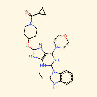 CCC1Nc2ccccc2N1C1NC2=C(NC(OC3CCN(C(=O)C4CC4)CC3)N2)C(N2CCOCC2)N1